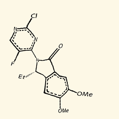 CC[C@H]1c2cc(OC)c(OC)cc2C(=O)N1c1nc(Cl)ncc1F